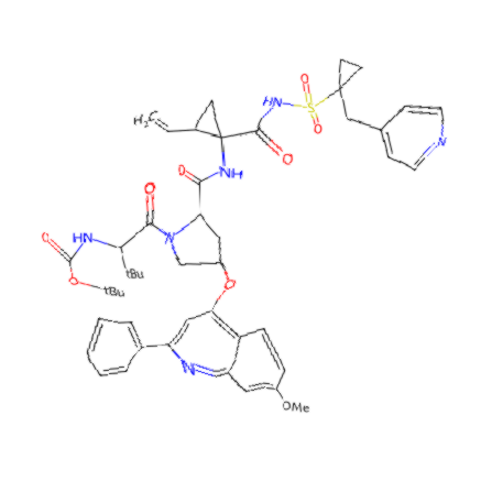 C=CC1CC1(NC(=O)C1CC(Oc2cc(-c3ccccc3)nc3cc(OC)ccc23)CN1C(=O)C(NC(=O)OC(C)(C)C)C(C)(C)C)C(=O)NS(=O)(=O)C1(Cc2ccncc2)CC1